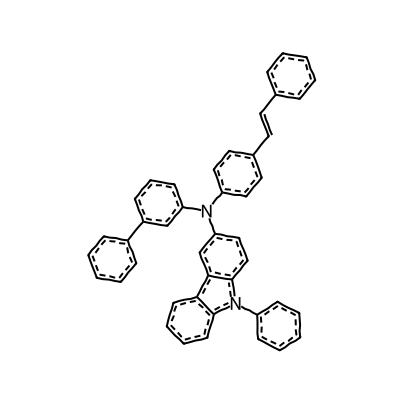 C(=C\c1ccc(N(c2cccc(-c3ccccc3)c2)c2ccc3c(c2)c2ccccc2n3-c2ccccc2)cc1)/c1ccccc1